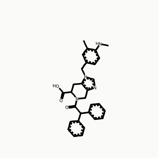 CNc1ccc(Cn2cnc3c2CC(C(=O)O)N(C(=O)C(c2ccccc2)c2ccccc2)C3)cc1C